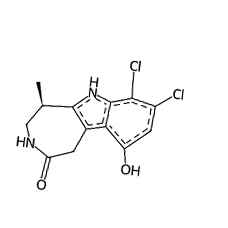 C[C@@H]1CNC(=O)Cc2c1[nH]c1c(Cl)c(Cl)cc(O)c21